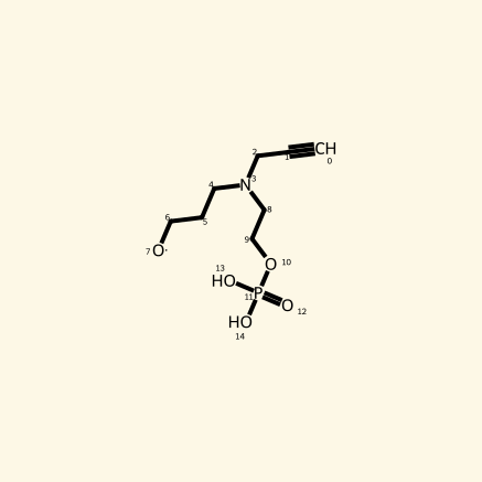 C#CCN(CCC[O])CCOP(=O)(O)O